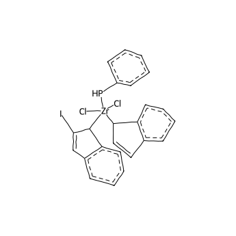 [Cl][Zr]([Cl])([PH]c1ccccc1)([CH]1C=Cc2ccccc21)[CH]1C(I)=Cc2ccccc21